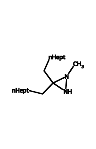 CCCCCCCCC1(CCCCCCCC)NN1C